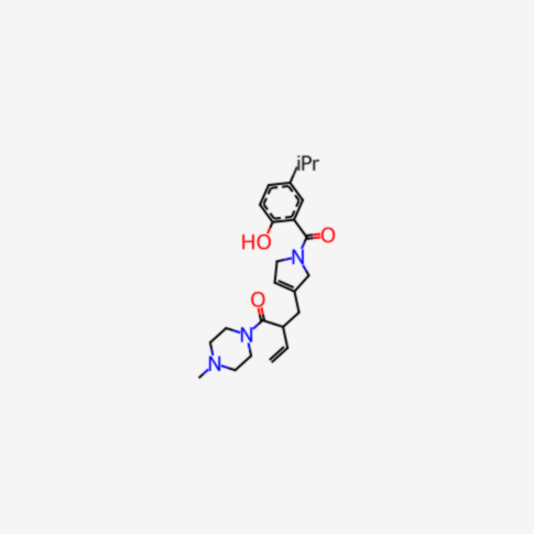 C=CC(CC1=CCN(C(=O)c2cc(C(C)C)ccc2O)C1)C(=O)N1CCN(C)CC1